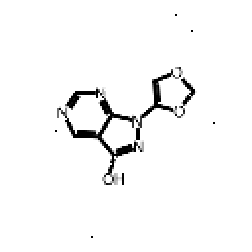 Oc1nn(C2=COCO2)c2ncncc12